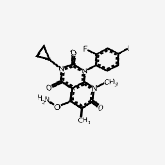 Cc1c(ON)c2c(=O)n(C3CC3)c(=O)n(-c3ccc(I)cc3F)c2n(C)c1=O